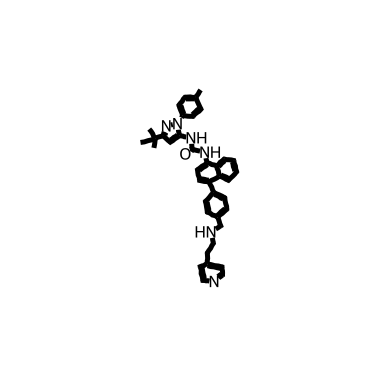 Cc1ccc(-n2nc(C(C)(C)C)cc2NC(=O)Nc2ccc(-c3ccc(CNCCc4ccncc4)cc3)c3ccccc23)cc1